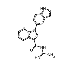 N=C(N)NC(=O)c1cn(-c2ccc3[nH]ccc3c2)c2ncccc12